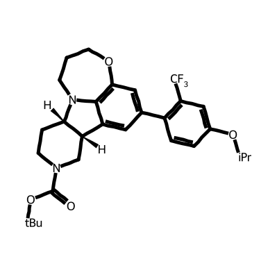 CC(C)Oc1ccc(-c2cc3c4c(c2)[C@@H]2CN(C(=O)OC(C)(C)C)CC[C@@H]2N4CCCO3)c(C(F)(F)F)c1